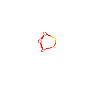 o1ooso1